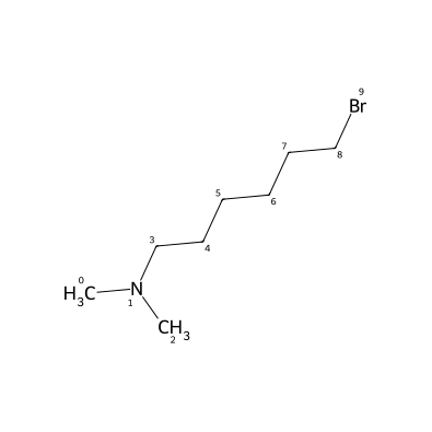 CN(C)CCCCCCBr